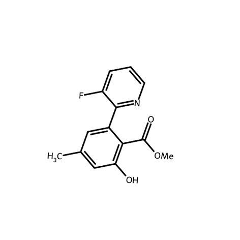 COC(=O)c1c(O)cc(C)cc1-c1ncccc1F